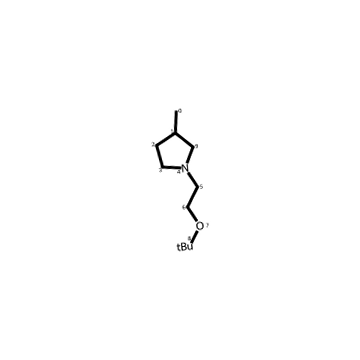 CC1CCN(CCOC(C)(C)C)C1